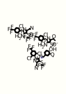 CC(=O)c1nn(-c2c(Cl)cc(C(F)(F)F)cc2Cl)c(N)c1[S+](C)[O-].COc1cc(/C=N/c2c(SC(F)(F)F)c(C#N)nn2-c2c(Cl)cc(C(F)(F)F)cc2Cl)ccc1O.N#Cc1nn(-c2c(Cl)cc(C(F)(F)F)cc2Cl)c(N)c1[S+]([O-])C(F)(F)F